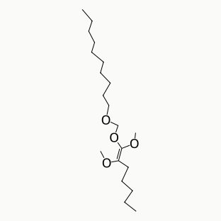 CCCCCCCCCCOCO/C(OC)=C(/CCCCC)OC